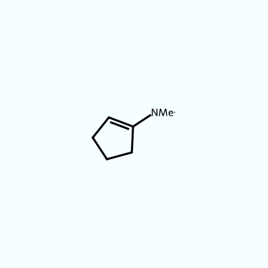 C[N]C1=CCCC1